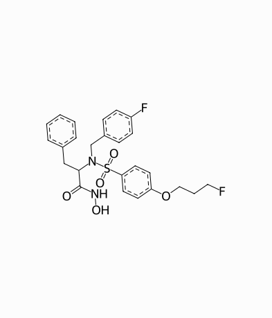 O=C(NO)C(Cc1ccccc1)N(Cc1ccc(F)cc1)S(=O)(=O)c1ccc(OCCCF)cc1